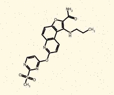 CCCNc1c(C(N)=O)oc2ccc3nc(Oc4ccnc(S(C)(=O)=O)n4)ccc3c12